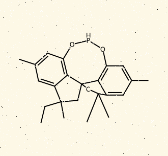 CCC1(C)CC23CC(C)(C)c4cc(C)cc(c42)OPOc2cc(C)cc1c23